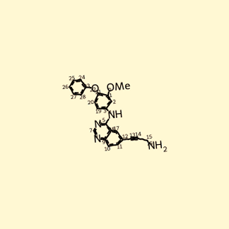 COc1cc(Nc2ncnc3ccc(C#CCN)cc23)ccc1Oc1ccccc1